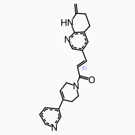 C=C1CCc2cc(/C=C/C(=O)N3CC=C(c4cccnc4)CC3)cnc2N1